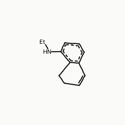 CCNc1cccc2c1CCC=C2